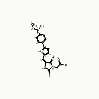 CO[NH+]([O-])c1ccc(-c2ccc(/C=C3/SC(=S)N(CC(=O)O)C3=O)o2)cc1